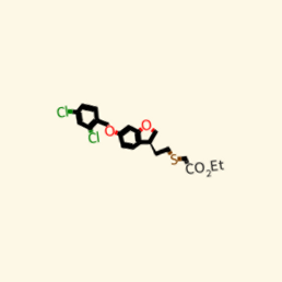 CCOC(=O)CSCC[C@@H]1COc2cc(OCc3ccc(Cl)cc3Cl)ccc21